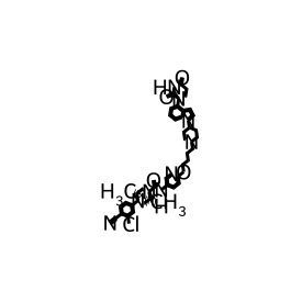 C[C@@H]1CN(c2ccc(C#N)c(Cl)c2)[C@@H](C)CN1C(=O)Nc1ccc(OCCCCN2CCC(n3ccc4c(N5CCC(=O)NC5=O)cccc43)CC2)nc1